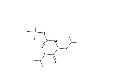 CC(C)OC(=O)C(CC(F)F)NC(=O)OC(C)(C)C